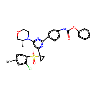 C[C@H]1COCCN1c1cc(C2(S(=O)(=O)c3ccc(C#N)cc3Cl)CC2)nc(-c2ccc(NC(=O)Oc3ccccc3)cc2)n1